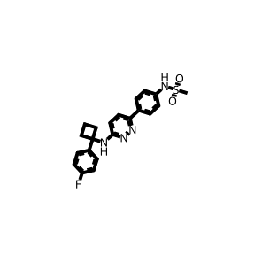 CS(=O)(=O)Nc1ccc(-c2ccc(NC3(c4ccc(F)cc4)CCC3)nn2)cc1